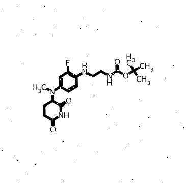 CN(c1ccc(NCCNC(=O)OC(C)(C)C)c(F)c1)C1CCC(=O)NC1=O